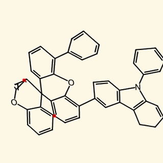 C1=Cc2c(c3cc(-c4cccc5c4Oc4c(-c6ccccc6)cccc4C54C5=CCCC=C5Oc5ccccc54)ccc3n2-c2ccccc2)CC1